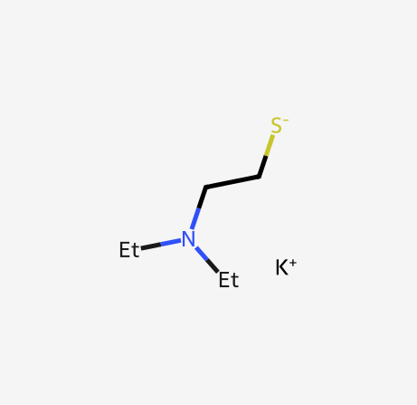 CCN(CC)CC[S-].[K+]